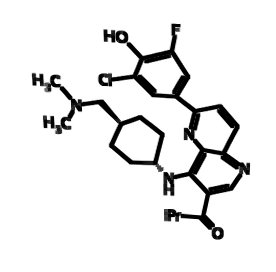 CC(C)C(=O)c1cnc2ccc(-c3cc(F)c(O)c(Cl)c3)nc2c1N[C@H]1CC[C@H](CN(C)C)CC1